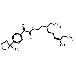 CCC(C)=CCCC(CC)CCOC(=O)C(=O)c1ccc(C2(C)OCCO2)cc1